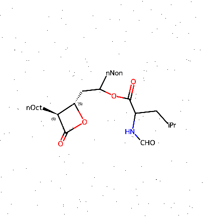 CCCCCCCCCC(C[C@@H]1OC(=O)[C@H]1CCCCCCCC)OC(=O)C(CC(C)C)NC=O